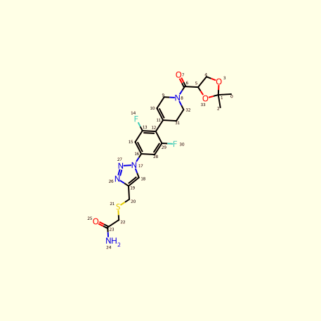 CC1(C)OCC(C(=O)N2CC=C(c3c(F)cc(-n4cc(CSCC(N)=O)nn4)cc3F)CC2)O1